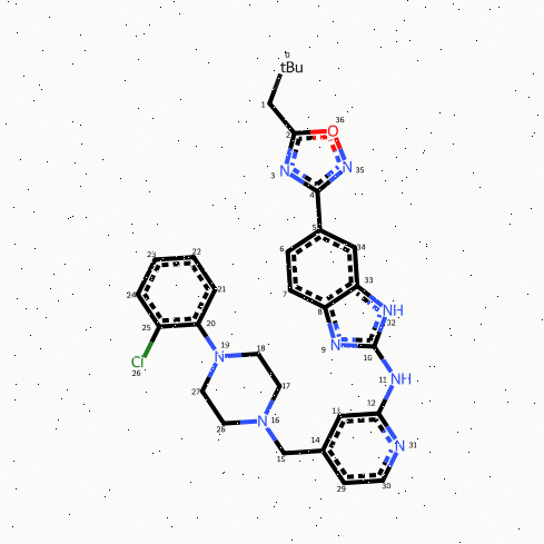 CC(C)(C)Cc1nc(-c2ccc3nc(Nc4cc(CN5CCN(c6ccccc6Cl)CC5)ccn4)[nH]c3c2)no1